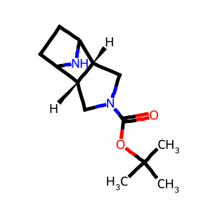 CC(C)(C)OC(=O)N1C[C@@H]2C3CCC(N3)[C@@H]2C1